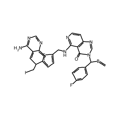 C=BC(c1ccc(F)cc1)n1cnc2ccnc(NCc3ccc(C(/C=c4/c(N)ncn/c4=C/I)CI)s3)c2c1=O